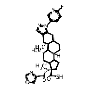 C[C@]12Cc3cnn(-c4ccc(F)nc4)c3C=C1CC[C@@H]1C2[C@@H](O)C[C@@]2(C)C1CC[C@]2(OC(=O)c1cocn1)C(=O)S